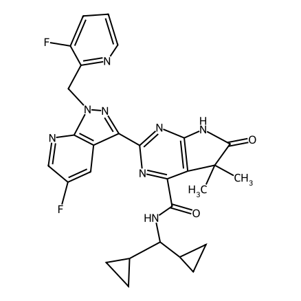 CC1(C)C(=O)Nc2nc(-c3nn(Cc4ncccc4F)c4ncc(F)cc34)nc(C(=O)NC(C3CC3)C3CC3)c21